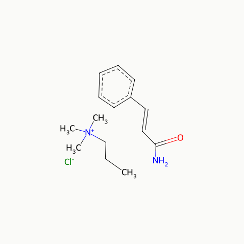 CCC[N+](C)(C)C.NC(=O)/C=C/c1ccccc1.[Cl-]